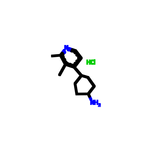 Cc1nccc(C2CCC(N)CC2)c1C.Cl